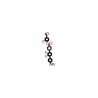 CCCc1ccc(-c2ccc(C3CCC(C(=O)Oc4ccc(C5CO5)cc4F)CC3)c(F)c2F)cc1